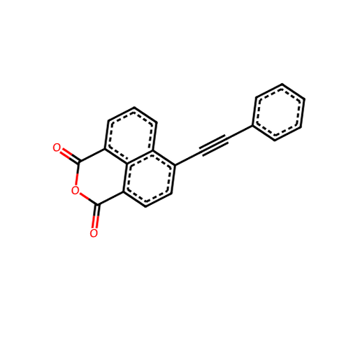 O=C1OC(=O)c2ccc(C#Cc3ccccc3)c3cccc1c23